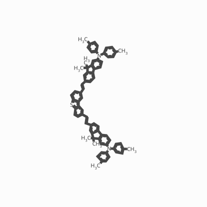 Cc1ccc(N(c2ccc(C)cc2)c2ccc3c(c2)C(C)(C)c2cc(/C=C/c4ccc5sc6ccc(/C=C/c7ccc8c(c7)C(C)(C)c7cc(N(c9ccc(C)cc9)c9ccc(C)cc9)ccc7-8)cc6c5c4)ccc2-3)cc1